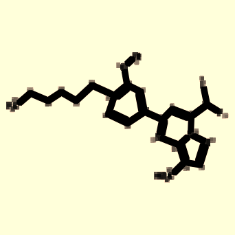 CCOc1cc(-c2cc(C(F)F)n3ncc(C(=O)O)c3n2)ccc1CCCCCC(F)(F)F